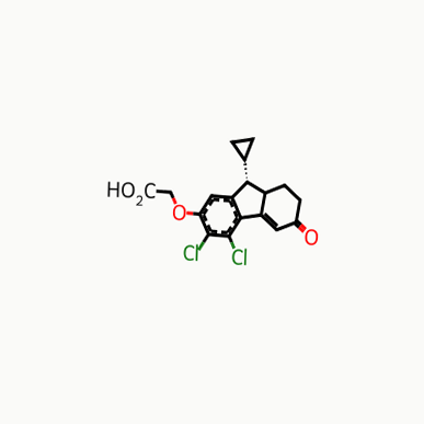 O=C(O)COc1cc2c(c(Cl)c1Cl)C1=CC(=O)CCC1[C@H]2C1CC1